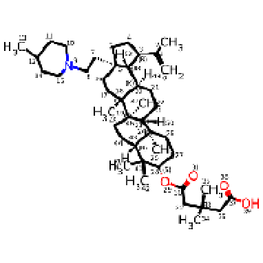 C=C(C)[C@@H]1CC[C@]2(CCN3CCC(C)CC3)CC[C@]3(C)[C@H](CC[C@@H]4[C@@]5(C)CC[C@H](OC(=O)CC(C)(C)CC(=O)O)C(C)(C)[C@@H]5CC[C@]43C)[C@@H]12